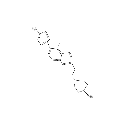 CCCC[C@H]1CC[C@H](CCc2ccc3c(F)c(-c4ccc(C)cc4)ccc3c2)CC1